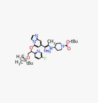 Cc1c(-c2cc(OC(CO[Si](C)(C)C(C)(C)C)c3ccc(F)cn3)n3ccnc3c2)nnn1C1CCN(C(=O)OC(C)(C)C)CC1